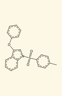 Cc1ccc(S(=O)(=O)n2cc(Oc3ccccc3)c3ccccc32)cc1